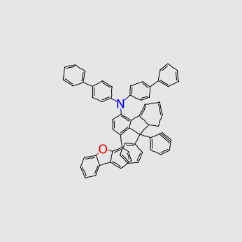 c1cccc(C2(c3ccccc3)c3c(-c4cccc5c4oc4ccccc45)ccc(N(c4ccc(-c5ccccc5)cc4)c4ccc(-c5ccccc5)cc4)c3C3=CC=CCC32)c#1